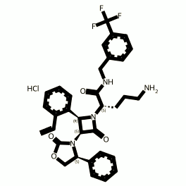 C=Cc1ccccc1[C@@H]1[C@H](N2C(=O)OC[C@@H]2c2ccccc2)C(=O)N1[C@@H](CCCN)C(=O)NCc1cccc(C(F)(F)F)c1.Cl